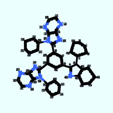 c1ccc(C2C(c3cc(-c4nc5nccnc5n4-c4ccccc4)cc(-c4nc5nccnc5n4-c4ccccc4)c3)=Nc3ccccc32)cc1